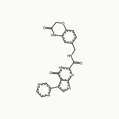 O=C1COc2ccc(CNC(=O)c3nc4scc(-c5cnccn5)c4c(=O)[nH]3)cc2N1